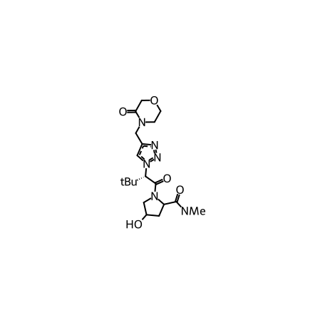 CNC(=O)C1CC(O)CN1C(=O)[C@@H](n1cc(CN2CCOCC2=O)nn1)C(C)(C)C